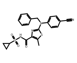 Cc1sc(N(Cc2ccccc2)c2ccc(C#N)cc2)nc1C(=O)NS(=O)(=O)C1CC1